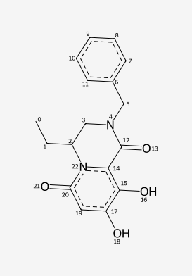 CCC1CN(Cc2ccccc2)C(=O)c2c(O)c(O)cc(=O)n21